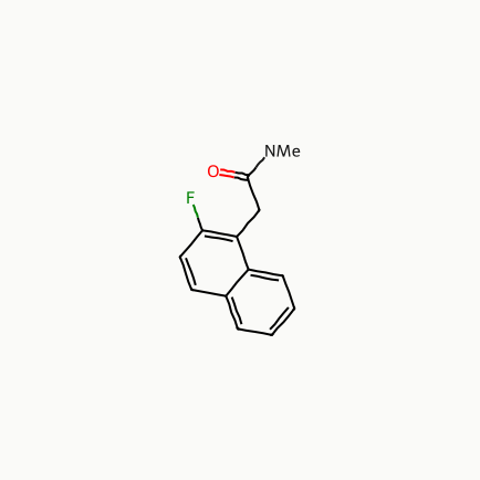 CNC(=O)Cc1c(F)ccc2ccccc12